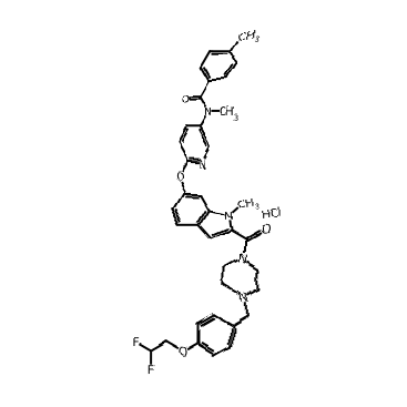 Cc1ccc(C(=O)N(C)c2ccc(Oc3ccc4cc(C(=O)N5CCN(Cc6ccc(OCC(F)F)cc6)CC5)n(C)c4c3)nc2)cc1.Cl